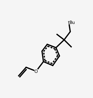 C=COc1ccc(C(C)(C)CC(C)(C)C)cc1